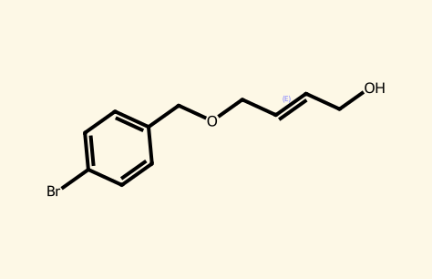 OC/C=C/COCc1ccc(Br)cc1